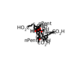 CCCCCC(O)CCN1CNC2CC(SCCCC(=O)O)CC21CCC(=O)CC(CC(C)C12CC(SCCCC(=O)O)CC1NCN2CCC(O)CCCCC)C12CC(SCCCC(=O)O)CC1NCN2CCC(O)CCCCC